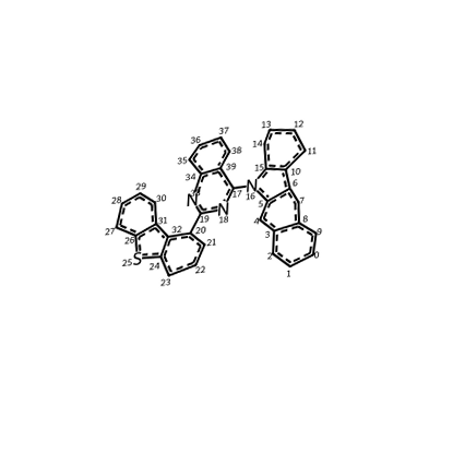 c1ccc2cc3c(cc2c1)c1ccccc1n3-c1nc(-c2cccc3sc4ccccc4c23)nc2ccccc12